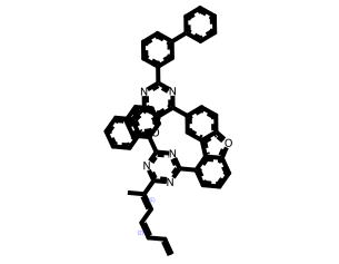 C=C/C=C\C=C(/C)c1nc(-c2ccccc2)nc(-c2cccc3oc4ccc(-c5nc(-c6cccc(-c7ccccc7)c6)nc6c5oc5ccccc56)cc4c23)n1